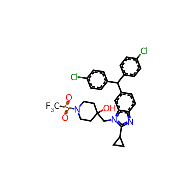 O=S(=O)(N1CCC(O)(Cn2c(C3CC3)nc3ccc(C(c4ccc(Cl)cc4)c4ccc(Cl)cc4)cc32)CC1)C(F)(F)F